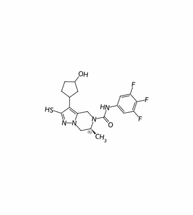 C[C@H]1Cn2nc(S)c(C3CCC(O)C3)c2CN1C(=O)Nc1cc(F)c(F)c(F)c1